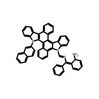 NC1C=CC=C/C1=C(/N=C/n1c2ccccc2c2c3c4ccccc4c4c5ccccc5n(-c5ccc6ccccc6c5)c4c3c3ccccc3c21)c1ccccc1